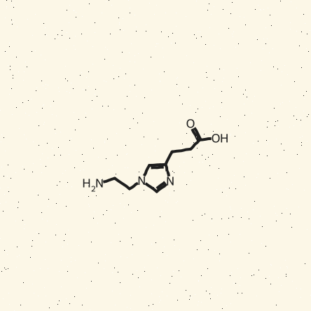 NCCn1cnc(CCC(=O)O)c1